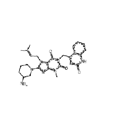 CC(C)=CCn1c(N2CCCC(N)C2)nc2c1c(=O)n(Cc1nc(=O)[nH]c3ccccc13)c(=O)n2C